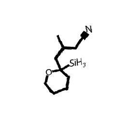 CC(CC#N)CC1([SiH3])CCCCO1